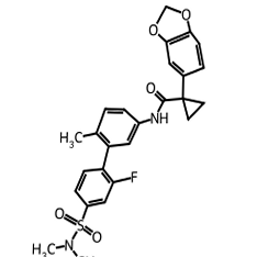 Cc1ccc(NC(=O)C2(c3ccc4c(c3)OCO4)CC2)cc1-c1ccc(S(=O)(=O)N(C)C)cc1F